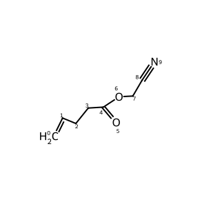 C=CCCC(=O)OCC#N